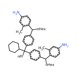 CCCCCCC(c1ccc(C(CCC)(c2ccc(C(CCCCCC)c3ccc(N)cc3C)cc2)C2CCCCC2)cc1)c1ccc(N)cc1C